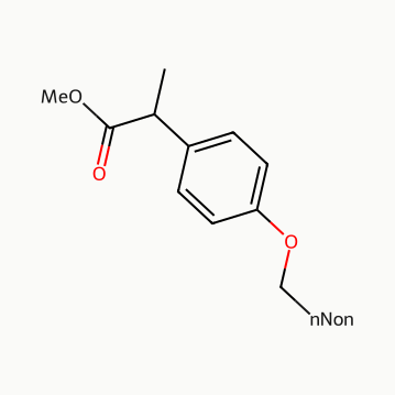 CCCCCCCCCCOc1ccc(C(C)C(=O)OC)cc1